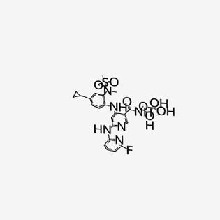 CN(c1cc(C2CC2)ccc1Nc1cc(Nc2cccc(F)n2)ncc1C(=O)NOC(O)(O)O)S(C)(=O)=O